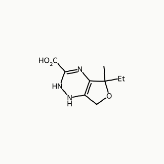 CCC1(C)OCC2=C1N=C(C(=O)O)NN2